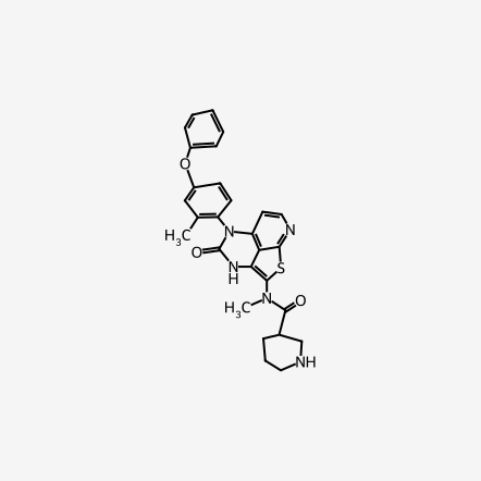 Cc1cc(Oc2ccccc2)ccc1N1C(=O)Nc2c(N(C)C(=O)C3CCCNC3)sc3nccc1c23